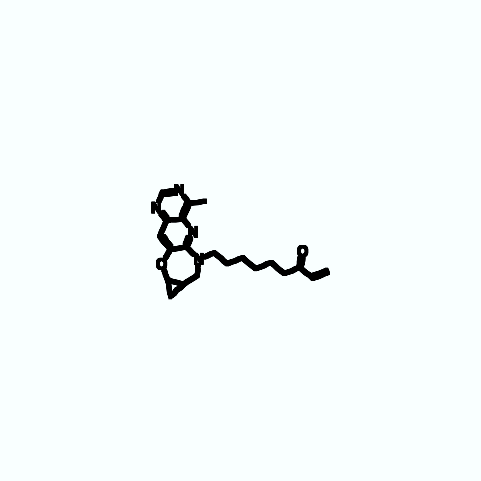 C=CC(=O)CCCCCCN1CC2CC2Oc2cc3ncnc(C)c3nc21